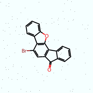 O=C1c2ccccc2-c2c1cc(Br)c1c2oc2ccccc21